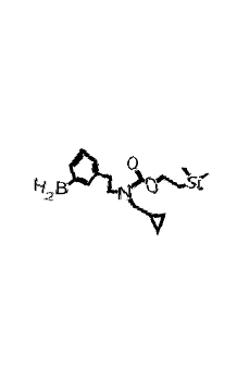 Bc1cccc(CCN(CC2CC2)C(=O)OCC[Si](C)(C)C)c1